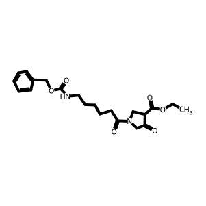 CCOC(=O)C1CN(C(=O)CCCCCNC(=O)OCc2ccccc2)CC1=O